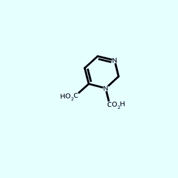 O=C(O)C1=CC=NCN1C(=O)O